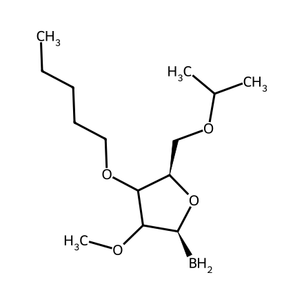 B[C@@H]1O[C@H](COC(C)C)C(OCCCCC)C1OC